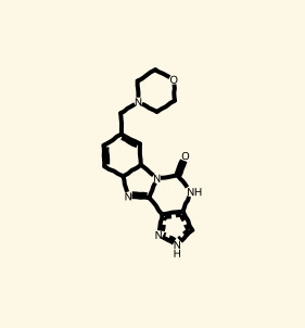 O=C1Nc2c[nH]nc2C2=NC3C=CC(CN4CCOCC4)=CC3N12